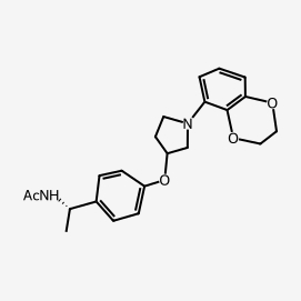 CC(=O)N[C@@H](C)c1ccc(OC2CCN(c3cccc4c3OCCO4)C2)cc1